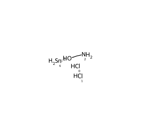 Cl.Cl.NO.[SnH2]